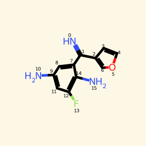 N=C(c1ccoc1)c1cc(N)cc(F)c1N